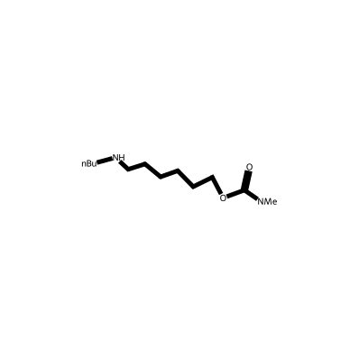 CCCCNCCCCCCOC(=O)NC